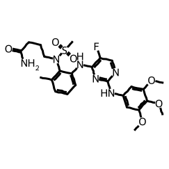 COc1cc(Nc2ncc(F)c(Nc3cccc(C)c3N(CCCC(N)=O)S(C)(=O)=O)n2)cc(OC)c1OC